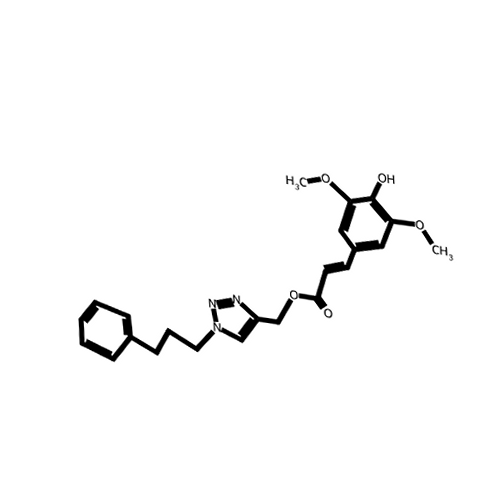 COc1cc(/C=C/C(=O)OCc2cn(CCCc3ccccc3)nn2)cc(OC)c1O